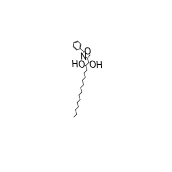 CCCCCCCCCCCCCC[C@@H](O)[C@@H](O)[C@@H]1COC(c2ccccc2)=N1